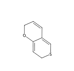 C1=CC2=CSCC=C2OC1